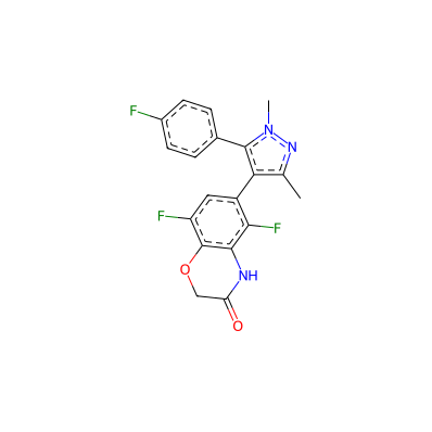 Cc1nn(C)c(-c2ccc(F)cc2)c1-c1cc(F)c2c(c1F)NC(=O)CO2